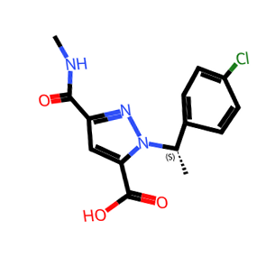 CNC(=O)c1cc(C(=O)O)n([C@@H](C)c2ccc(Cl)cc2)n1